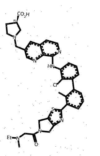 CCN(C)CC(=O)N1Cc2nc(-c3cccc(-c4cccc(Nc5nccc6cc(CN7CC[C@@H](C(=O)O)C7)cnc56)c4Cl)c3C)sc2C1